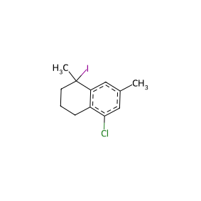 Cc1cc(Cl)c2c(c1)C(C)(I)CCC2